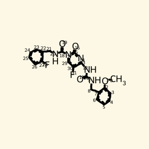 COc1ccccc1CNC(=O)Nc1nc(=O)n(C(=O)NCc2ccccc2F)cc1F